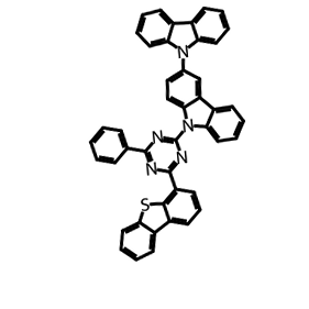 c1ccc(-c2nc(-c3cccc4c3sc3ccccc34)nc(-n3c4ccccc4c4cc(-n5c6ccccc6c6ccccc65)ccc43)n2)cc1